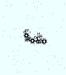 NC(=O)c1c(-c2ccc(NS(=O)(=O)c3ccc(OC(F)(F)F)cc3)cc2)n[nH]c1Nc1cnccn1